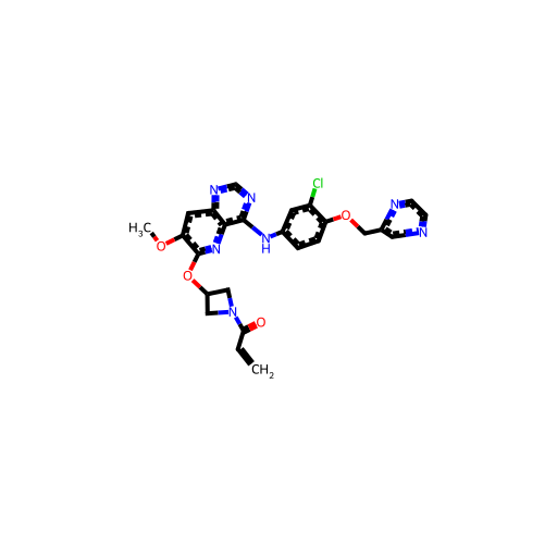 C=CC(=O)N1CC(Oc2nc3c(Nc4ccc(OCc5cnccn5)c(Cl)c4)ncnc3cc2OC)C1